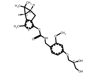 COc1cc(OC[C@@H](O)CO)ccc1CNC(=O)Oc1sc(C)c2c1C[C@@H]1[C@H]2C1(C)C